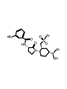 CCCN(C(C)C)[C@@H]1CC[C@H](N2CC[C@H](NC(=O)c3cccc(C(C)(C)C)c3)C2=O)[C@@H](CS(=O)(=O)C(C)C)C1